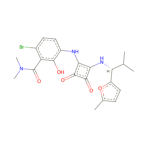 Cc1ccc([C@H](Nc2c(Nc3ccc(Br)c(C(=O)N(C)C)c3O)c(=O)c2=O)C(C)C)o1